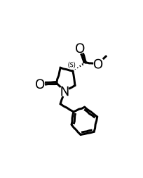 COC(=O)[C@H]1CC(=O)N(Cc2ccccc2)C1